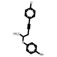 CC(C)(C)c1ccc(OC(CC#Cc2ccc(Cl)cc2)C(=O)O)cc1